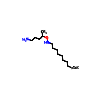 CCCCCCCCCCCCCCCCCCNOC(C)CCCN